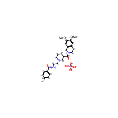 COc1cc2c(cc1OC)CN(C(=O)[C@@H]1CCCN(CCNC(=O)c3ccc(F)cc3)C1)CC2.O=P(O)(O)O